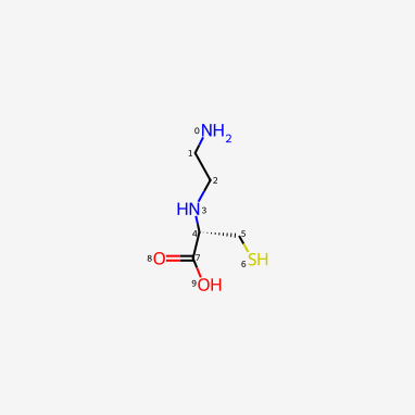 NCCN[C@H](CS)C(=O)O